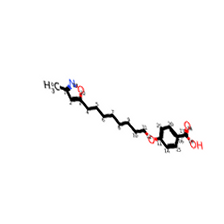 Cc1cc(CCCCCCCCOc2ccc(C(=O)O)cc2)on1